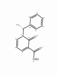 COC(=O)c1cccn([C@H](C)c2ccccc2)c1=O